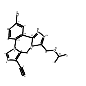 C#Cc1ncn2c1Cn1c(COC(C)C)nnc1-c1cc(Cl)ccc1-2